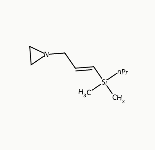 CCC[Si](C)(C)C=CCN1CC1